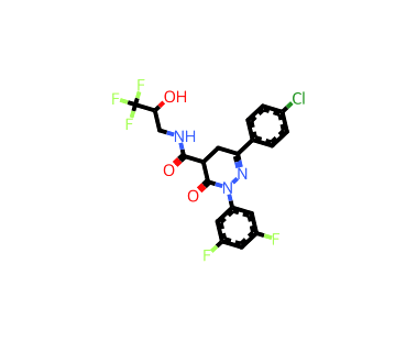 O=C(NCC(O)C(F)(F)F)C1CC(c2ccc(Cl)cc2)=NN(c2cc(F)cc(F)c2)C1=O